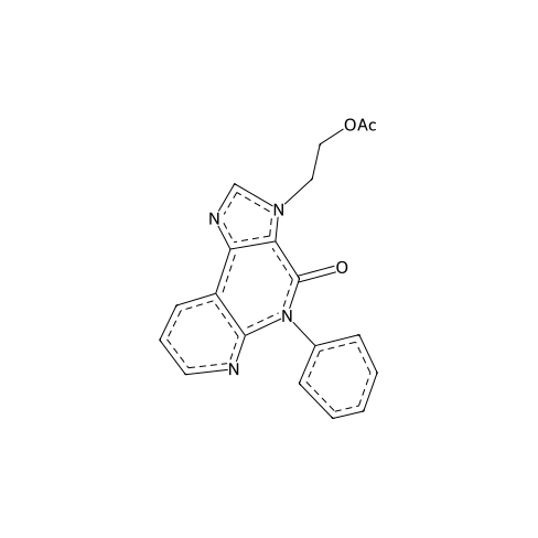 CC(=O)OCCn1cnc2c3cccnc3n(-c3ccccc3)c(=O)c21